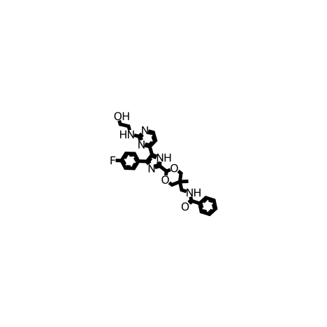 CC1(CNC(=O)c2ccccc2)COC(c2nc(-c3ccc(F)cc3)c(-c3ccnc(NCCO)n3)[nH]2)OC1